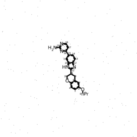 CCCOc1ccc2c(c1)CC(c1nc3ccc(-c4ccnc(N)n4)cc3[nH]1)CO2